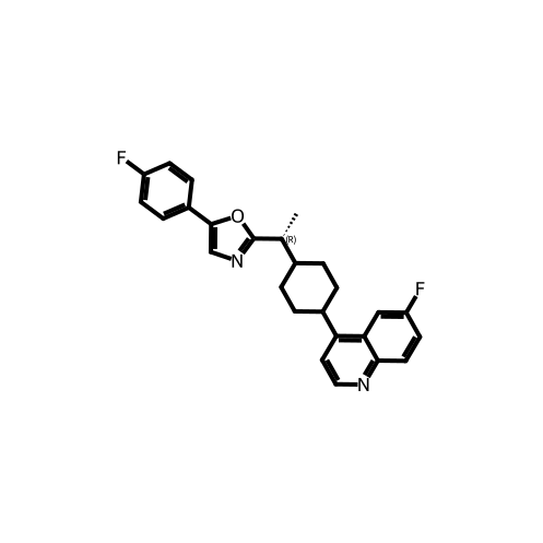 C[C@@H](c1ncc(-c2ccc(F)cc2)o1)C1CCC(c2ccnc3ccc(F)cc23)CC1